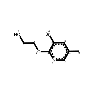 Cc1cnc(OCCO)c(Br)c1